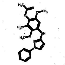 COc1cc(Nc2ccn(-c3ccccc3)n2)c(OC)c(C)c1OC(C)=O